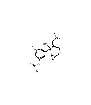 CN(C)CC1CCC2CC2C1(O)c1cc(F)cc(OC(=O)C(C)(C)C)c1